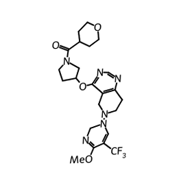 COC1=NCN(N2CCc3ncnc(OC4CCN(C(=O)C5CCOCC5)C4)c3C2)C=C1C(F)(F)F